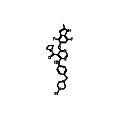 CCN1CCN(Cc2ccc(Nc3ncnc(Oc4cc(F)c5[nH]c(C)cc5c4F)c3C(=O)N3CCC3)cc2)CC1